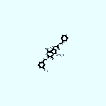 CCOC(=O)[C@@H]1C[C@@](C)(NC(=O)OCc2ccccc2)c2c(Cl)nc(OCc3cccc(C(F)(F)F)c3)c(=O)n21